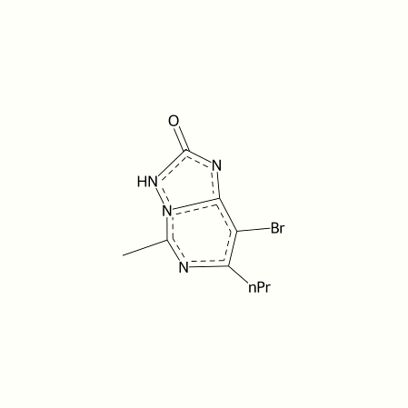 CCCc1nc(C)n2[nH]c(=O)nc2c1Br